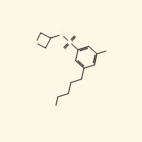 CCc1cc(CCCCN)cc(S(=O)(=O)NC2CNC2)c1